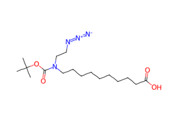 CC(C)(C)OC(=O)N(CCCCCCCCCC(=O)O)CCN=[N+]=[N-]